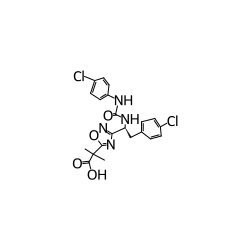 CC(C)(C(=O)O)c1nc([C@H](Cc2ccc(Cl)cc2)NC(=O)Nc2ccc(Cl)cc2)no1